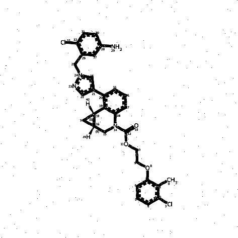 Cc1c(Cl)cccc1OCCOC(=O)N1C[C@@H]2C[C@@H]2c2c(-c3cnn(Cc4cc(N)ccc4Cl)c3)cccc21